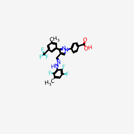 Cc1cc(-c2nn(-c3ccc(C(=O)O)cc3)cc2/C=N/Nc2c(F)c(C)cc(F)c2F)cc(C(F)(F)F)c1